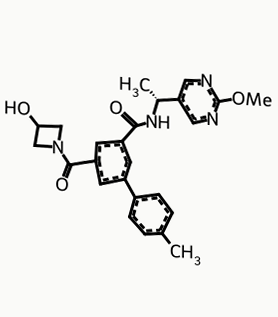 COc1ncc([C@@H](C)NC(=O)c2cc(C(=O)N3CC(O)C3)cc(-c3ccc(C)cc3)c2)cn1